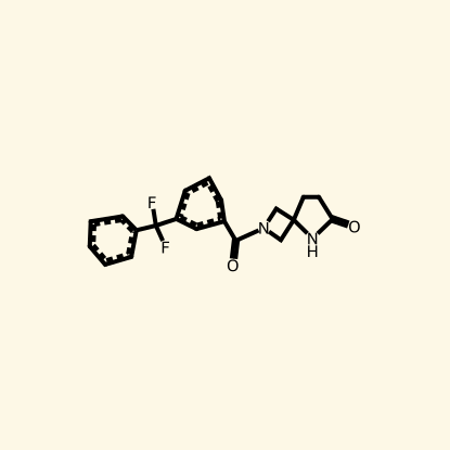 O=C1CCC2(CN(C(=O)c3cccc(C(F)(F)c4ccccc4)c3)C2)N1